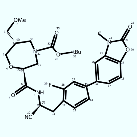 COC[C@H]1CO[C@H](C(=O)N[C@H](C#N)Cc2ccc(-c3ccc4oc(=O)n(C)c4c3)cc2F)CN(C(=O)OC(C)(C)C)C1